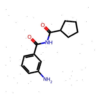 Nc1c[c]cc(C(=O)NC(=O)C2CCCC2)c1